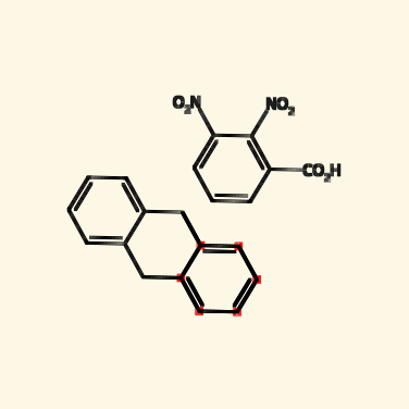 O=C(O)c1cccc([N+](=O)[O-])c1[N+](=O)[O-].c1ccc2c(c1)C1c3ccccc3C2c2ccccc21